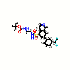 CC(C)(C)OC(=O)NCCNS(=O)(=O)c1cc(-c2cccc(C(F)F)c2)cc2cnccc12